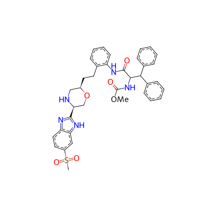 COC(=O)NC(C(=O)Nc1ccccc1CC[C@@H]1CN[C@H](c2nc3ccc(S(C)(=O)=O)cc3[nH]2)CO1)C(c1ccccc1)c1ccccc1